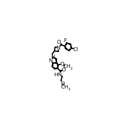 COCCNC(=O)c1ccc2nn(CC3CN(C(=O)c4ccc(Cl)cc4F)C3)cc2c1OC